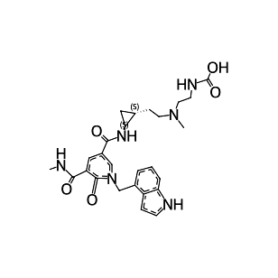 CNC(=O)c1cc(C(=O)N[C@H]2C[C@@H]2CCN(C)CCNC(=O)O)cn(Cc2cccc3[nH]ccc23)c1=O